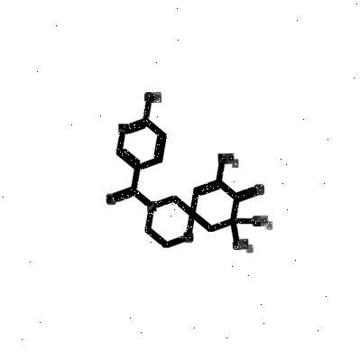 CC1(C)CC2(C=C(N)C1=O)CN(C(=O)c1ccc(O)nc1)CCO2